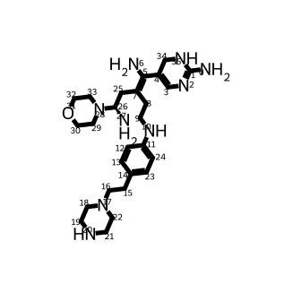 NC1=NC=C(/C(N)=C(\CCNc2ccc(CCN3CCNCC3)cc2)C[C@@H](N)N2CCOCC2)CN1